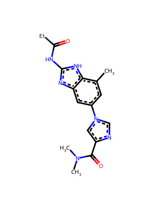 CCC(=O)Nc1nc2cc(-n3cnc(C(=O)N(C)C)c3)cc(C)c2[nH]1